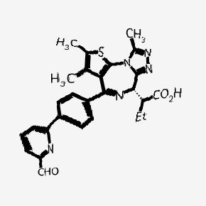 CCC(C(=O)O)[C@@H]1N=C(c2ccc(-c3cccc(C=O)n3)cc2)c2c(sc(C)c2C)-n2c(C)nnc21